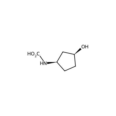 O=C(O)N[C@@H]1CC[C@H](O)C1